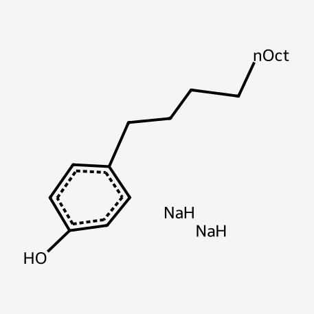 CCCCCCCCCCCCc1ccc(O)cc1.[NaH].[NaH]